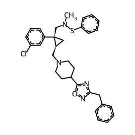 CN(C[C@@]1(c2cccc(Cl)c2)C[C@H]1CN1CCC(c2nc(Cc3ccccc3)no2)CC1)Sc1ccccc1